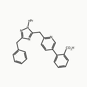 CCCn1nc(Cc2ccccc2)nc1Cc1ccc(-c2ccccc2C(=O)O)cn1